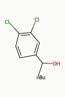 CCCCC(O)c1ccc(Cl)c(Cl)c1